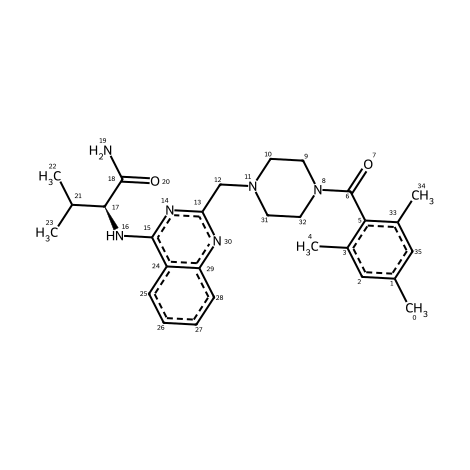 Cc1cc(C)c(C(=O)N2CCN(Cc3nc(N[C@H](C(N)=O)C(C)C)c4ccccc4n3)CC2)c(C)c1